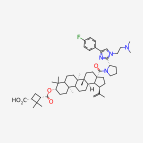 C=C(C)[C@@H]1CC[C@]2(C(=O)N3CCC[C@H]3c3nc(-c4ccc(F)cc4)cn3CCN(C)C)CC[C@]3(C)[C@H](CCC4[C@@]5(C)CC[C@H](OC(=O)[C@H]6C[C@@H](C(=O)O)C6(C)C)C(C)(C)C5CC[C@]43C)C12